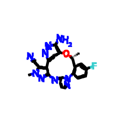 C[C@H]1Oc2cc(nnc2N)-c2c(nn(C)c2C#N)/N=C2\C=CC=NN2c2ccc(F)cc21